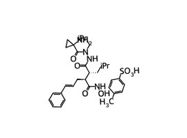 CC(C)C[C@@H](C(=O)NN(CC(C)C)C(=O)C1(N)CC1)[C@H](CC=Cc1ccccc1)C(=O)NO.Cc1ccc(S(=O)(=O)O)cc1